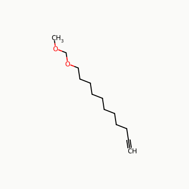 C#CCCCCCCCCCOCOC